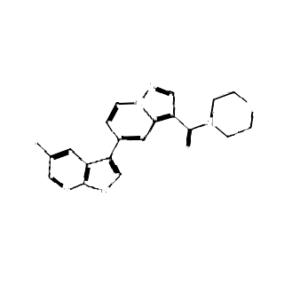 O=C(c1cnn2ccc(-c3c[nH]c4ncc(Cl)cc34)cc12)N1CCOCC1